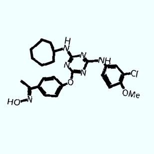 COc1ccc(Nc2nc(NC3CCCCCC3)nc(Oc3ccc(/C(C)=N/O)cc3)n2)cc1Cl